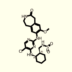 COc1cc2c(cc1Nc1ncc(Cl)c(N[C@@H]3CCCC[C@@H]3CN[SH](=O)=O)n1)CCNC(=O)C2